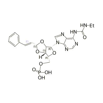 CCNC(=O)Nc1ncnc2c1ncn2[C@@H]1O[C@H](COP(=O)(O)O)[C@@H]2O[C@H](/C=C/c3ccccc3)OC21